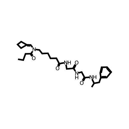 CCCC(=O)N(C=C1CCC1)CCCCCC(=O)NCC(=O)NCC(=O)NC(C)Cc1ccccc1